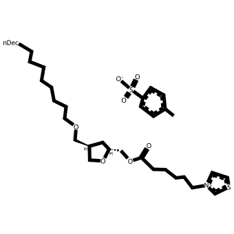 CCCCCCCCCCCCCCCCCCOC[C@@H]1CO[C@@H](COC(=O)CCCCC[n+]2ccsc2)C1.Cc1ccc(S(=O)(=O)[O-])cc1